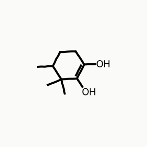 CC1CCC(O)=C(O)C1(C)C